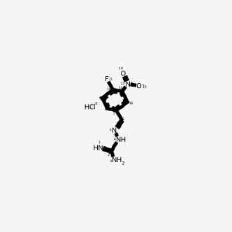 Cl.N=C(N)N/N=C/c1ccc(F)c([N+](=O)[O-])c1